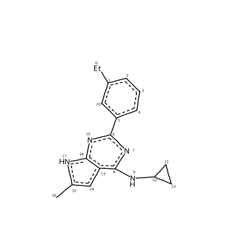 CCc1cccc(-c2nc(NC3CC3)c3cc(C)[nH]c3n2)c1